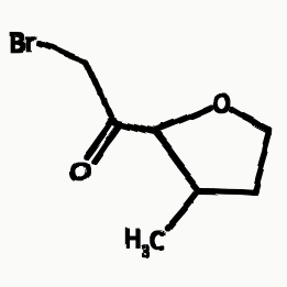 CC1CCOC1C(=O)CBr